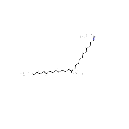 CCCCCCCC/C=C\CCCCCCCCCCC(CCCCCCCCCCCCCCCCCCCCCC)C(=O)O